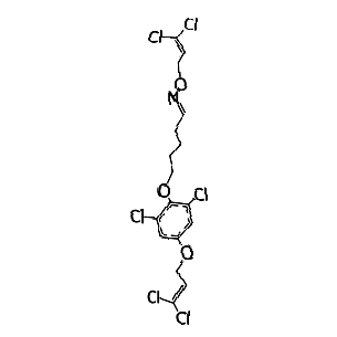 ClC(Cl)=CCO/N=C/CCCCOc1c(Cl)cc(OCC=C(Cl)Cl)cc1Cl